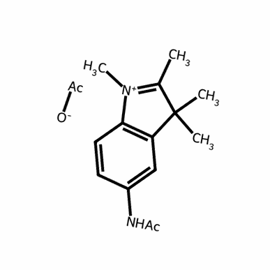 CC(=O)Nc1ccc2c(c1)C(C)(C)C(C)=[N+]2C.CC(=O)[O-]